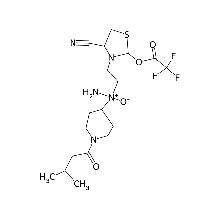 CC(C)CC(=O)N1CCC([N+](N)([O-])CCN2C(C#N)CSC2OC(=O)C(F)(F)F)CC1